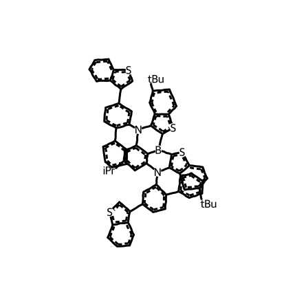 CC(C)c1cc2c3c(c1)N(c1cc(-c4csc5ccccc45)ccc1-c1ccccc1)c1c(sc4ccc(C(C)(C)C)cc14)B3c1sc3ccc(C(C)(C)C)cc3c1N2c1cc(-c2csc3ccccc23)ccc1-c1ccccc1